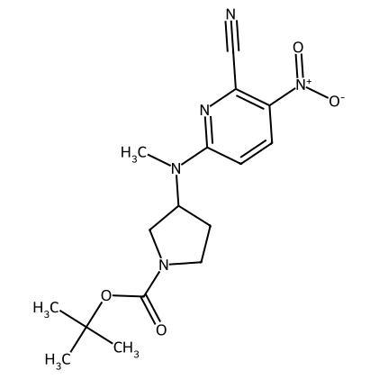 CN(c1ccc([N+](=O)[O-])c(C#N)n1)C1CCN(C(=O)OC(C)(C)C)C1